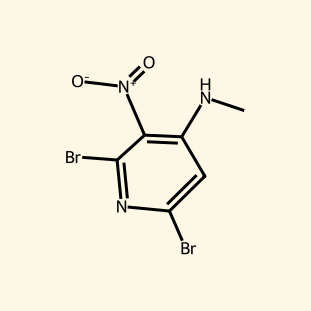 CNc1cc(Br)nc(Br)c1[N+](=O)[O-]